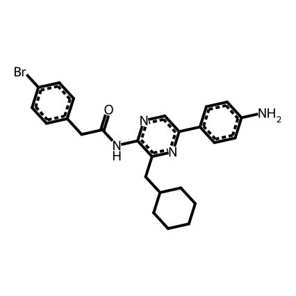 Nc1ccc(-c2cnc(NC(=O)Cc3ccc(Br)cc3)c(CC3CCCCC3)n2)cc1